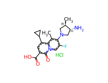 Cc1c(N2C[C@@H](C)[C@H](N)C2)c(F)cn2c(=O)c(C(=O)O)cc(C3CC3)c12.Cl